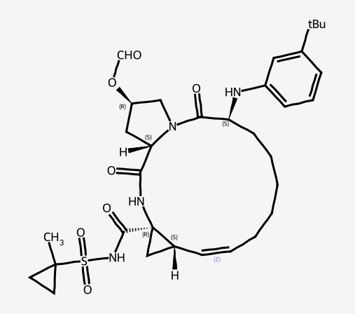 CC(C)(C)c1cccc(N[C@H]2CCCCC/C=C\[C@@H]3C[C@@]3(C(=O)NS(=O)(=O)C3(C)CC3)NC(=O)[C@@H]3C[C@@H](OC=O)CN3C2=O)c1